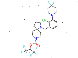 O=C(OC(C(F)(F)F)C(F)(F)F)N1CCC2(CCCN2Cc2cccc(N3CCC(F)(F)CC3)c2Cl)CC1